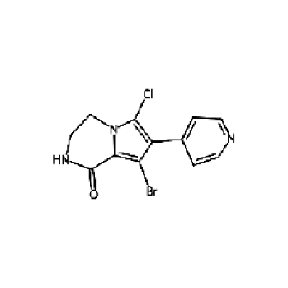 O=C1NCCn2c(Cl)c(-c3ccncc3)c(Br)c21